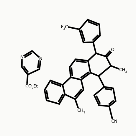 CCOC(=O)c1cncnc1.Cc1cc2c3c(ccc2c2ccccc12)C(c1cccc(C(F)(F)F)c1)C(=O)C(C)C3c1ccc(C#N)cc1